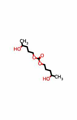 CC(O)CCCOC(=O)OCCCC(C)O